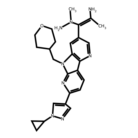 C/C(N)=C(\c1cnc2c3ccc(-c4cnn(C5CC5)c4)nc3n(CC3CCOCC3)c2c1)N(C)N